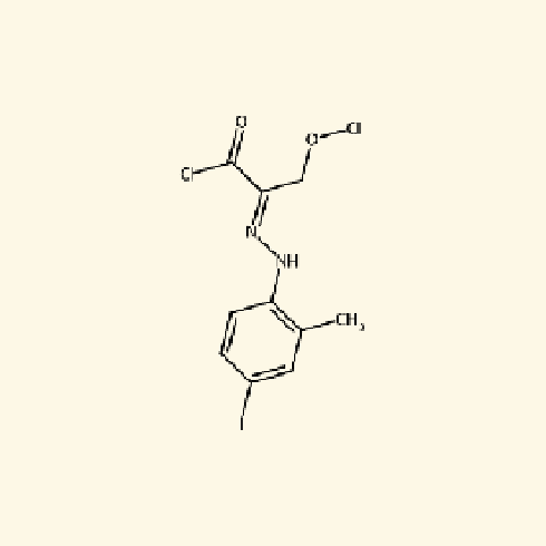 Cc1cc(I)ccc1N/N=C(\COCl)C(=O)Cl